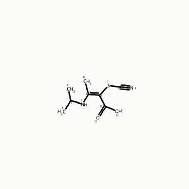 C/C(NC(C)C)=C(\SC#N)C(=O)O